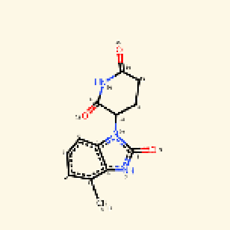 Cc1cccc2c1[nH]c(=O)n2C1CCC(=O)NC1=O